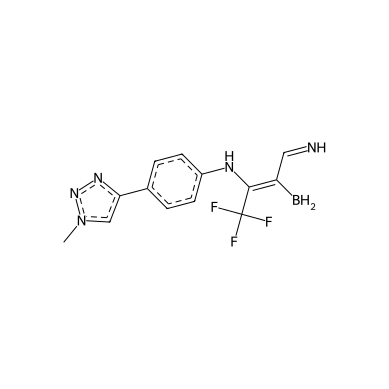 B/C(C=N)=C(/Nc1ccc(-c2cn(C)nn2)cc1)C(F)(F)F